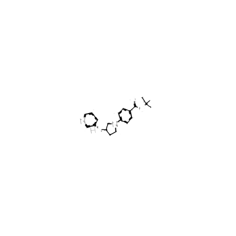 CC(C)(C)OC(=O)c1ccc(N2CCC(Nc3cccnc3)C2)cc1